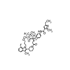 CCc1cc(C(=O)Nc2ccc(C[C@H](CC(=O)N3CCCC(c4c(C)c5cccc(F)c5n4CCCOC)C3)NC(=O)OC(C)(C)C)cc2)n(C)n1